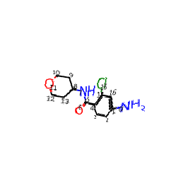 Nc1ccc(C(=O)NC2CCOCC2)c(Cl)c1